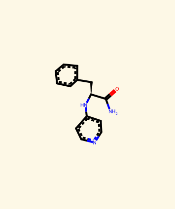 NC(=O)[C@H](Cc1ccccc1)Nc1ccncc1